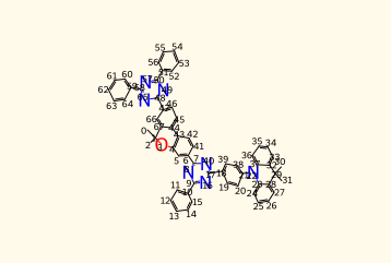 CC1(C)Oc2cc(-c3nc(-c4ccccc4)nc(-c4ccc(N5c6ccccc6C(C)(C)c6ccccc65)cc4)n3)ccc2-c2ccc(-c3nc(-c4ccccc4)nc(-c4ccccc4)n3)cc21